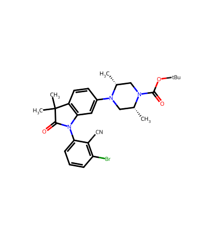 C[C@@H]1CN(c2ccc3c(c2)N(c2cccc(Br)c2C#N)C(=O)C3(C)C)[C@H](C)CN1C(=O)OC(C)(C)C